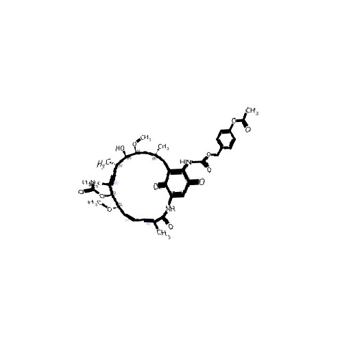 CO[C@H]1/C=C\C=C(/C)C(=O)NC2=CC(=O)C(NC(=O)OCc3ccc(OC(C)=O)cc3)=C(C[C@@H](C)C[C@H](OC)[C@H](O)[C@@H](C)/C=C(\C)[C@@H]1OC(N)=O)C2=O